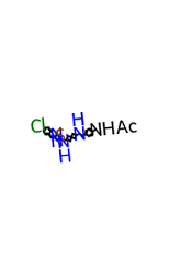 CC(=O)Nc1ccc(CNC2CC3(C2)CC(Nc2nc(Cc4ccc(Cl)cc4)ns2)C3)cc1